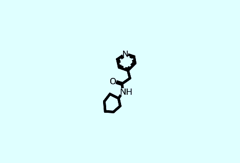 O=C(Cc1ccncc1)NC1CCCCC1